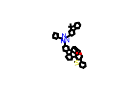 CC1(C)c2ccccc2-c2ccc(-c3nc(-c4ccccc4)nc(-c4ccc5c(c4)C4(c6c-5cccc6-c5cccc6c5S(C)(C)c5ccccc5-6)C5CC6CC(C5)CC4C6)n3)cc21